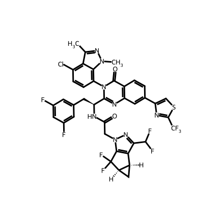 Cc1nn(C)c2c(-n3c([C@H](Cc4cc(F)cc(F)c4)NC(=O)Cn4nc(C(F)F)c5c4C(F)(F)[C@@H]4C[C@H]54)nc4cc(-c5csc(C(F)(F)F)n5)ccc4c3=O)ccc(Cl)c12